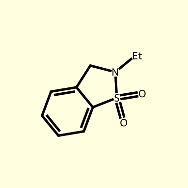 CCN1Cc2ccccc2S1(=O)=O